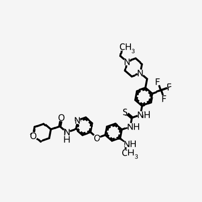 CCN1CCN(Cc2ccc(NC(=S)Nc3ccc(Oc4ccnc(NC(=O)C5CCOCC5)c4)cc3NC)cc2C(F)(F)F)CC1